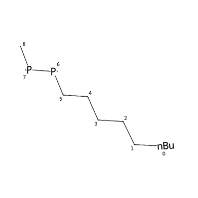 CCCCCCCCC[P][P]C